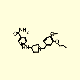 CCCOc1cc(CN2CCC(Nc3ccc(C(N)=O)cn3)CC2)ccc1OC